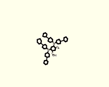 COc1cc(CO)c(N(c2ccc(-c3ccccc3)cc2)c2ccc(-c3ccccc3)cc2)cc1N(c1ccc(-c2ccccc2)cc1)c1ccc(-c2ccccc2)cc1